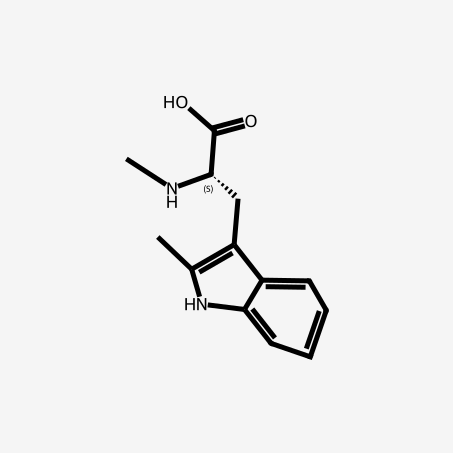 CN[C@@H](Cc1c(C)[nH]c2ccccc12)C(=O)O